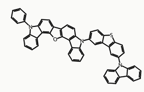 c1ccc(-n2c3ccccc3c3c4oc5c(ccc6c5c5ccccc5n6-c5ccc6sc7ccc(-n8c9ccccc9c9ccccc98)cc7c6c5)c4ccc32)cc1